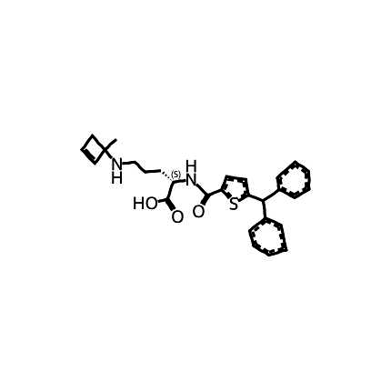 CC1(NCCC[C@H](NC(=O)c2ccc(C(c3ccccc3)c3ccccc3)s2)C(=O)O)C=CC1